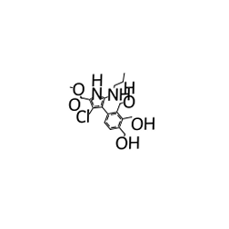 CCCNc1[nH]c(C(=O)OC)c(Cl)c1-c1ccc(CO)c(CO)c1CO